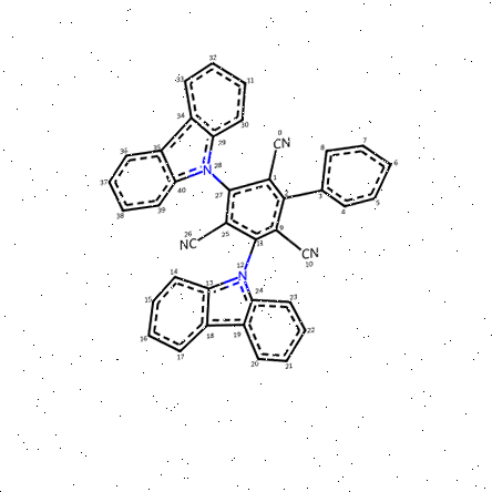 N#Cc1c(-c2ccccc2)c(C#N)c(-n2c3ccccc3c3ccccc32)c(C#N)c1-n1c2ccccc2c2ccccc21